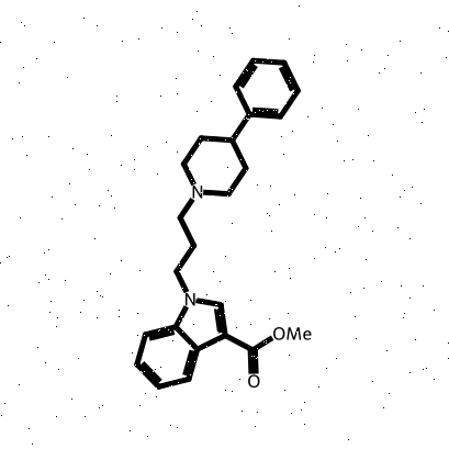 COC(=O)c1cn(CCCN2CCC(c3ccccc3)CC2)c2ccccc12